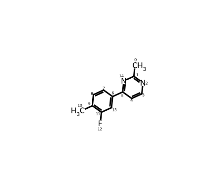 Cc1nccc(-c2ccc(C)c(F)c2)n1